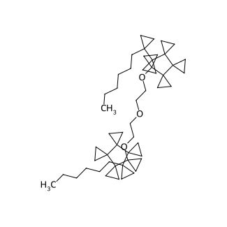 CCCCCCC1(C2(C3(C4(C5(C6(OCCOCCOC7(C8(C9(C%10(C%11(C%12(CCCCCC)CC%12)CC%11)CC%10)CC9)CC8)CC7)CC6)CC5)CC4)CC3)CC2)CC1